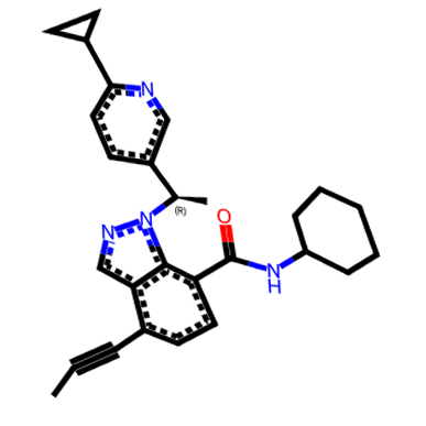 CC#Cc1ccc(C(=O)NC2CCCCC2)c2c1cnn2[C@H](C)c1ccc(C2CC2)nc1